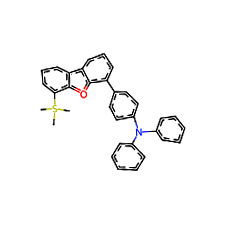 CS(C)(C)c1cccc2c1oc1c(-c3ccc(N(c4ccccc4)c4ccccc4)cc3)cccc12